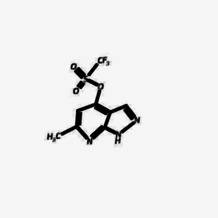 Cc1cc(OS(=O)(=O)C(F)(F)F)c2cn[nH]c2n1